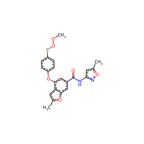 COOSc1ccc(Oc2cc(C(=O)Nc3cc(C)on3)cc3oc(C)cc23)cc1